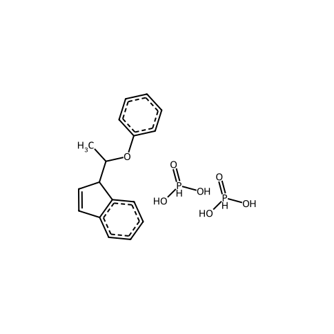 CC(Oc1ccccc1)C1C=Cc2ccccc21.O=[PH](O)O.O=[PH](O)O